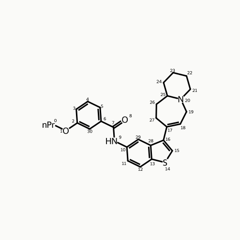 CCCOc1cccc(C(=O)Nc2ccc3scc(C4=CCN5CCCCC5CC4)c3c2)c1